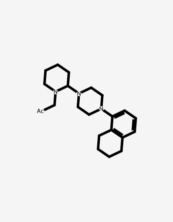 CC(=O)CN1CCCCC1N1CCN(c2cccc3c2CCCC3)CC1